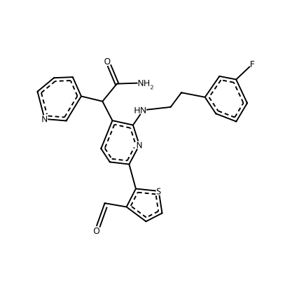 NC(=O)C(c1cccnc1)c1ccc(-c2sccc2C=O)nc1NCCc1cccc(F)c1